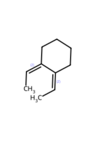 C/C=C1/CCCC/C1=C/C